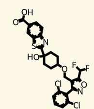 O=C(O)c1ccc2nc(C3(O)CCC(OCc4c(-c5c(Cl)cccc5Cl)noc4C(F)F)CC3)sc2c1